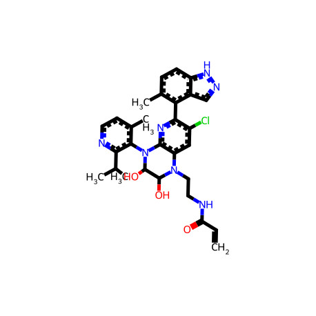 C=CC(=O)NCCN1c2cc(Cl)c(-c3c(C)ccc4[nH]ncc34)nc2N(c2c(C)ccnc2C(C)C)C(O)C1O